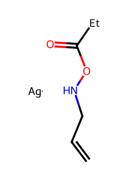 C=CCNOC(=O)CC.[Ag]